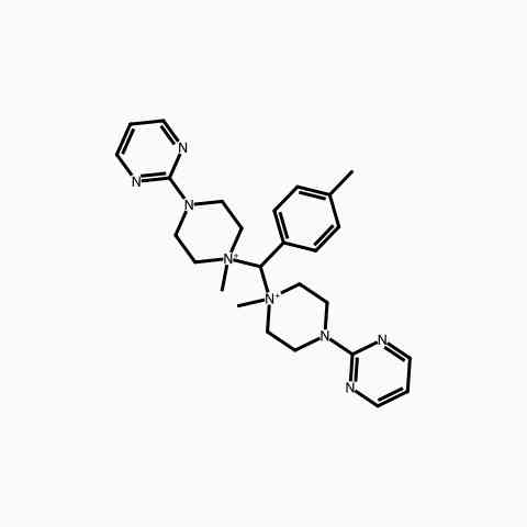 Cc1ccc(C([N+]2(C)CCN(c3ncccn3)CC2)[N+]2(C)CCN(c3ncccn3)CC2)cc1